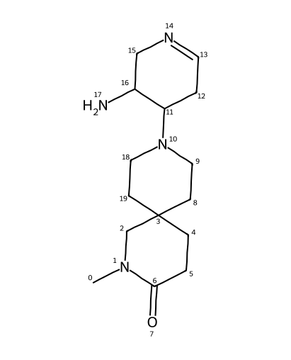 CN1CC2(CCC1=O)CCN(C1CC=NCC1N)CC2